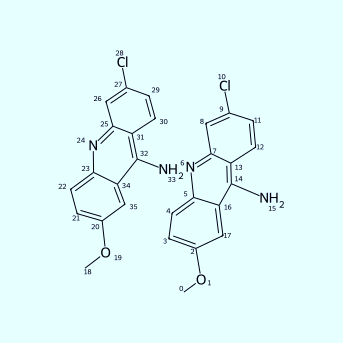 COc1ccc2nc3cc(Cl)ccc3c(N)c2c1.COc1ccc2nc3cc(Cl)ccc3c(N)c2c1